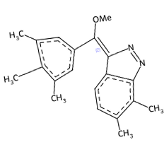 CO/C(=C1\N=Nc2c1ccc(C)c2C)c1cc(C)c(C)c(C)c1